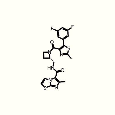 Cc1nc(C(=O)N2CC[C@H]2CNC(=O)c2c(C)nc3sccn23)c(-c2cc(F)cc(F)c2)s1